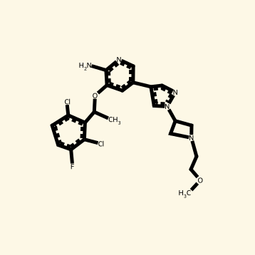 COCCN1CC(n2cc(-c3cnc(N)c(OC(C)c4c(Cl)ccc(F)c4Cl)c3)cn2)C1